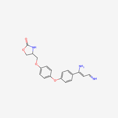 N=C/C=C(\N)c1ccc(Oc2ccc(OCC3COC(=O)N3)cc2)cc1